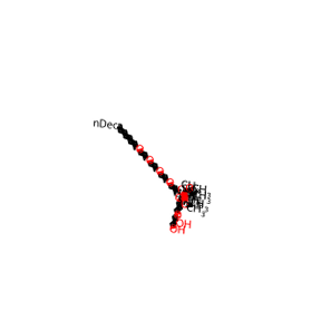 CCCCCCCCCCCCCCCCCCOCCCOCCCOCCCOCCC[Si](C)(O[Si](C)(C)O[Si](C)(C)C)O[Si](C)(CCCOCC(O)CO)O[Si](C)(C)C